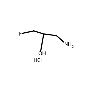 Cl.NCC(O)CF